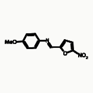 COc1ccc(N=Cc2ccc([N+](=O)[O-])o2)cc1